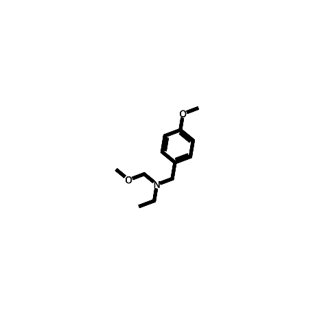 CCN(COC)Cc1ccc(OC)cc1